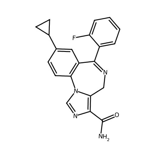 NC(=O)c1ncn2c1CN=C(c1ccccc1F)c1cc(C3CC3)ccc1-2